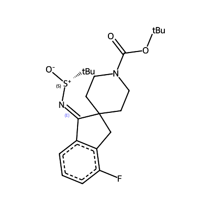 CC(C)(C)OC(=O)N1CCC2(CC1)Cc1c(F)cccc1/C2=N/[S@+]([O-])C(C)(C)C